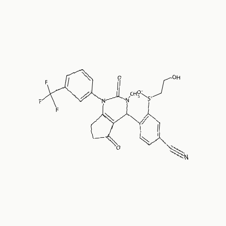 CN1C(=O)N(c2cccc(C(F)(F)F)c2)C2=C(C(=O)CC2)C1c1ccc(C#N)cc1[S+]([O-])CCO